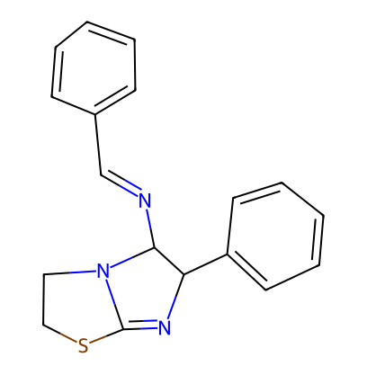 C(=N\C1C(c2ccccc2)N=C2SCCN21)/c1ccccc1